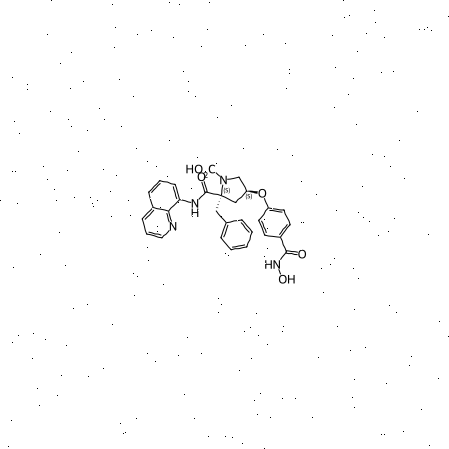 O=C(NO)c1ccc(O[C@@H]2CN(C(=O)O)[C@](Cc3ccccc3)(C(=O)Nc3cccc4cccnc34)C2)cc1